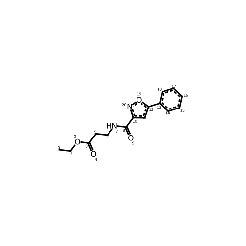 CCOC(=O)CCNC(=O)c1cc(-c2ccccc2)on1